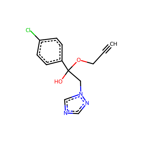 C#CCOC(O)(Cn1cncn1)c1ccc(Cl)cc1